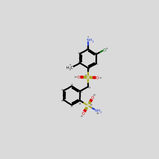 Cc1cc(N)c(Cl)cc1S(=O)(=O)Cc1ccccc1S(N)(=O)=O